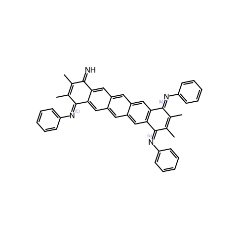 Cc1c(C)/c(=N\c2ccccc2)c2cc3cc4cc5/c(=N/c6ccccc6)c(C)c(C)/c(=N\c6ccccc6)c5cc4cc3cc2c1=N